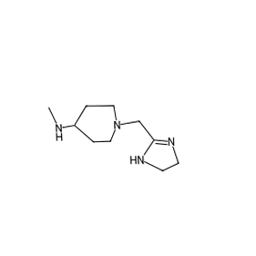 CNC1CCN(CC2=NCCN2)CC1